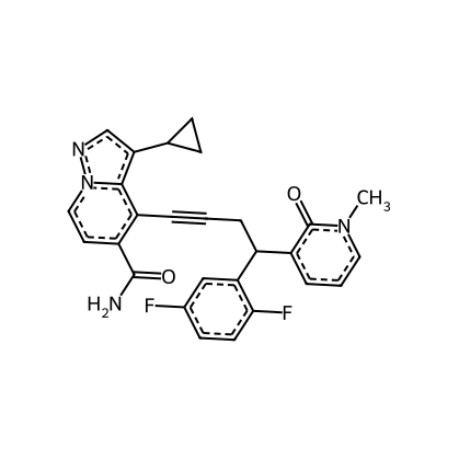 Cn1cccc(C(CC#Cc2c(C(N)=O)ccn3ncc(C4CC4)c23)c2cc(F)ccc2F)c1=O